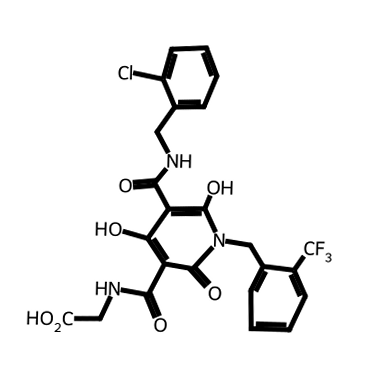 O=C(O)CNC(=O)c1c(O)c(C(=O)NCc2ccccc2Cl)c(O)n(Cc2ccccc2C(F)(F)F)c1=O